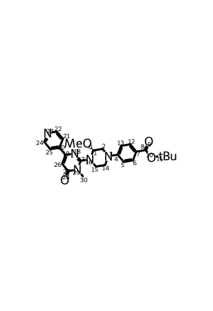 CO[C@@H]1CN(c2ccc(C(=O)OC(C)(C)C)cc2)CCN1c1nc(-c2ccncc2)cc(=O)n1C